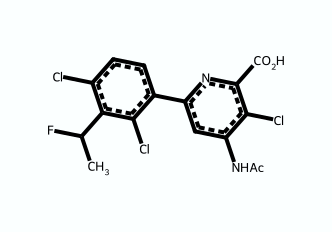 CC(=O)Nc1cc(-c2ccc(Cl)c(C(C)F)c2Cl)nc(C(=O)O)c1Cl